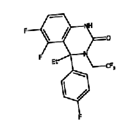 CCC1(c2ccc(F)cc2)c2c(ccc(F)c2F)NC(=O)N1CC(F)(F)F